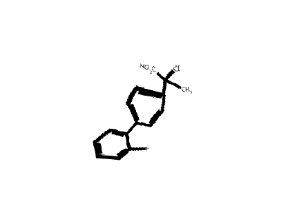 CC(Cl)(C(=O)O)c1ccc(-c2ccccc2F)cc1